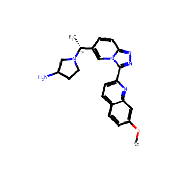 CCOc1ccc2ccc(-c3nnc4ccc([C@H](N5CCC(N)C5)C(F)(F)F)cn34)nc2c1